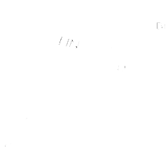 O=C1CCC(NC(=O)CBr)CC1